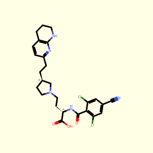 N#Cc1cc(Cl)c(C(=O)N[C@@H](CCN2CC[C@@H](CCc3ccc4c(n3)NCCC4)C2)C(=O)O)c(Cl)c1